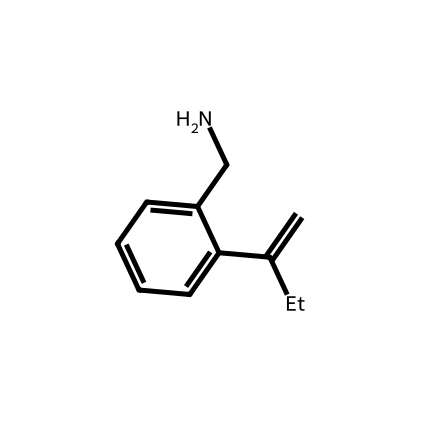 C=C(CC)c1ccccc1CN